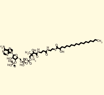 CCCCCCCCCCCCCCCCC(O)C(=O)SCCNC(=O)CCNC(=O)C(O)C(C)(C)COP(=O)(O)OP(=O)(O)OC[C@H]1O[C@@H](n2cnc3c(N)ncnc32)[C@H](O)[C@@H]1OP(=O)(O)O